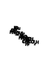 C=C(NC(=O)c1csc(-c2ccc(NC(=O)OC(C)(C)C)cc2)n1)C(=O)NC(C)C(=O)O